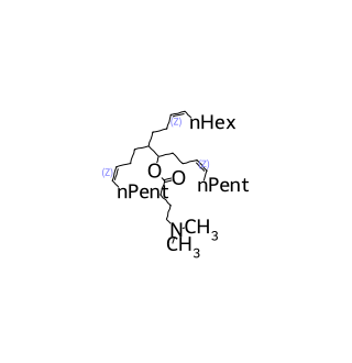 CCCCC/C=C\CCC(CC/C=C\CCCCCC)C(CC/C=C\CCCCC)OC(=O)CCCN(C)C